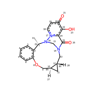 C[C@H]1c2ccccc2OC[C@@H]2C[C@H]2CN2CN1n1ccc(=O)c(O)c1C2=O